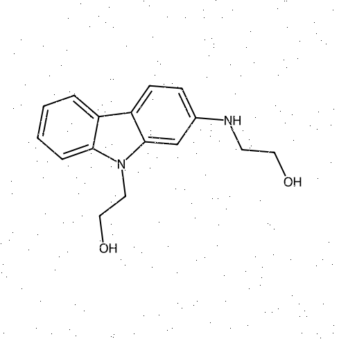 OCCNc1ccc2c3ccccc3n(CCO)c2c1